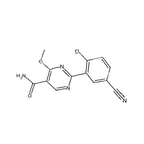 COc1nc(-c2cc(C#N)ccc2Cl)ncc1C(N)=O